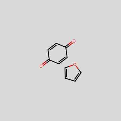 O=C1C=CC(=O)C=C1.c1ccoc1